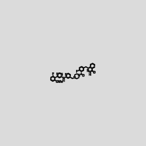 COc1cccc(F)c1-c1cc(Nc2cc(CN3CCN(C(=O)c4cc(Cc5n[nH]c(=O)c6ccccc56)ccc4F)CC3)ccn2)ncn1